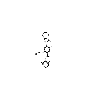 Cc1ccnc(C)c1NC(=O)c1cc(F)c(-n2nc3n(c2=O)CCCC3)cc1OCC(F)(F)F